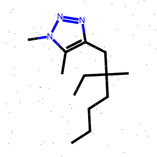 CCCCC(C)(CC)Cc1nnn(C)c1C